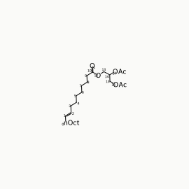 CCCCCCCCC=CCCCCCCCC(=O)OCC(COC(C)=O)OC(C)=O